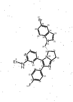 CCNc1nccc(-c2c(-c3ccc(F)cc3)nc3n2[C@H](Cn2ccc4cc(Br)ccc42)CC3)n1